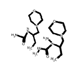 CCC(CN1CCOCC1)N(N)C(=O)NC.CCC(CN1CCOCC1)NC(N)=O